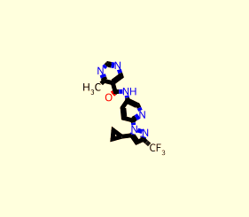 Cc1ncncc1C(=O)Nc1ccc(-n2nc(C(F)(F)F)cc2C2CC2)nc1